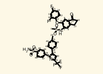 CS(=O)(=O)Nc1cc2c(cc1Oc1ccc(F)cc1F)C(=O)CC2.Cc1ccc(-c2cc(C(F)(F)F)nn2-c2ccc(S(N)(=O)=O)cc2)cc1